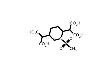 CS(=O)(=O)N1CC(C(C(=O)O)C(=O)O)CCC1C(C(=O)O)C(=O)O